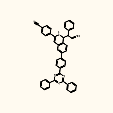 N#Cc1ccc(C2=Cc3cc(-c4ccc(-c5nc(-c6ccccc6)nc(-c6ccccc6)n5)cc4)ccc3C(C(C=N)c3ccccc3)N2)cc1